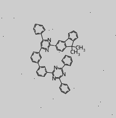 CC1(C)c2ccccc2-c2cc(-c3nc(-c4ccccc4)cc(-c4cccc(-c5cccc(-c6nc(-c7ccccc7)nc(-c7ccccc7)n6)c5)c4)n3)ccc21